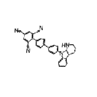 N#Cc1cc(C#N)c(-c2ccc(-c3ccc(N4c5ccccc5C5CCCNC54)cc3)cc2)c(C#N)c1